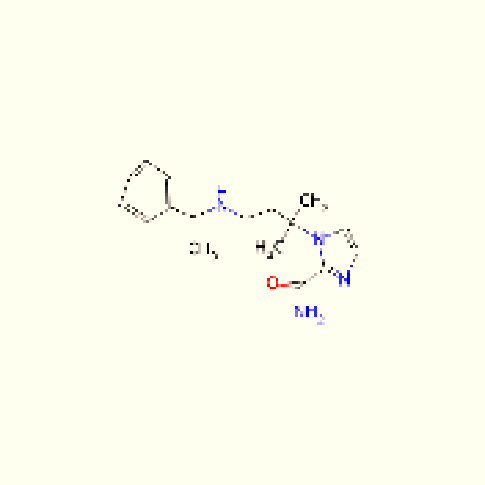 C[C@@H](NCCC(C)(C)n1c[c]nc1C(N)=O)c1ccccc1